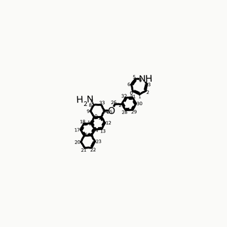 C1=CC=CNC=C1.N[C@@H]1Cc2c(ccc3c4c(ccc23)CCC=C4)C(OCc2ccccc2)C1